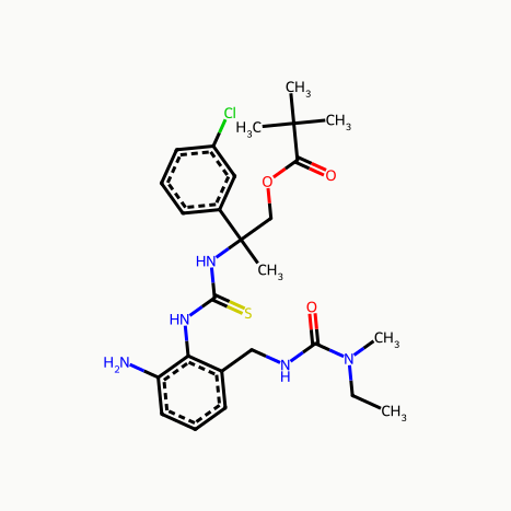 CCN(C)C(=O)NCc1cccc(N)c1NC(=S)NC(C)(COC(=O)C(C)(C)C)c1cccc(Cl)c1